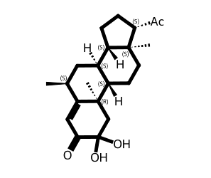 CC(=O)[C@H]1CC[C@H]2[C@@H]3C[C@H](C)C4=CC(=O)C(O)(O)C[C@]4(C)[C@H]3CC[C@]12C